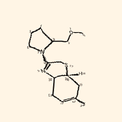 COCC1CCCN1C1=NC2CC=C(C)C[C@H]2S1